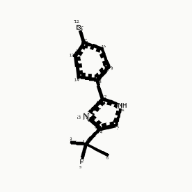 CC(C)(F)c1c[nH]c(-c2ccc(Br)cc2)n1